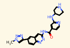 Cn1cc(-c2ccc3nnc(NC(=O)c4ccnc(NC5CCNCC5)c4)cc3c2)nn1